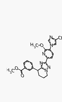 COC(=O)c1cccc(C2CCCn3nc(-c4ccc(-n5cnc(C)c5)c(OC)n4)nc32)c1